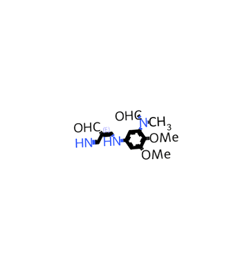 COc1cc(N/C=C(\C=N)C=O)cc(N(C)C=O)c1OC